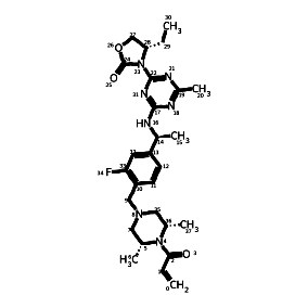 C=CC(=O)N1[C@H](C)CN(Cc2ccc([C@H](C)Nc3nc(C)nc(N4C(=O)OC[C@@H]4CC)n3)cc2F)C[C@@H]1C